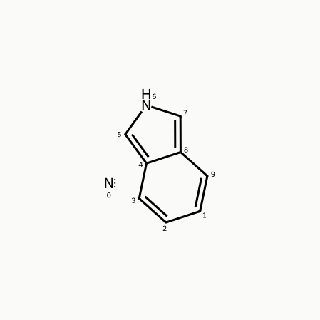 [N].c1ccc2c[nH]cc2c1